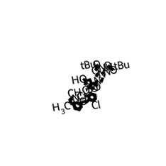 Cc1cc(C)c2cccc(OCc3c(Cl)ccc(S(=O)(=O)N4CC(O)CC4C(=O)N4CCN(/C(=N/C(=O)OC(C)(C)C)NC(=O)OC(C)(C)C)CC4)c3Cl)c2n1